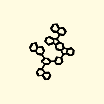 c1cc(-c2cc(-c3ccc4ccccc4c3)nc(-c3cccc4ccccc34)c2)cc(-n2c3ccccc3c3cc4c(cc32)c2ccccc2n4-c2cccc3ccccc23)c1